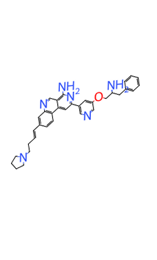 Nc1nc(-c2cncc(OC[C@@H](N)Cc3ccccc3)c2)cc2c1cnc1cc(/C=C/CCN3CCCC3)ccc12